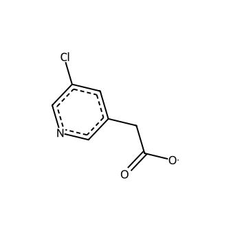 [O]C(=O)Cc1cncc(Cl)c1